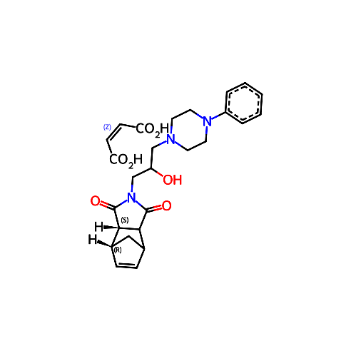 O=C(O)/C=C\C(=O)O.O=C1C2C3C=C[C@@H](C3)[C@@H]2C(=O)N1CC(O)CN1CCN(c2ccccc2)CC1